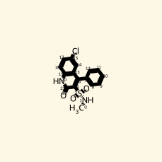 CNS(=O)(=O)c1c(-c2ccccc2)c2cc(Cl)ccc2[nH]c1=O